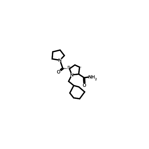 NC(=O)C1[CH]C[C@@H](C(=O)N2CCCC2)N1CC1CCCCC1